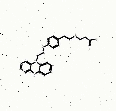 O=C(O)CCOCCc1ccc(OCCN2c3ccccc3Oc3ccccc32)cc1